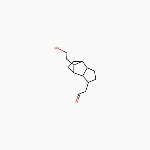 O=CCC1CCC2C3CCC(C3CCO)C12